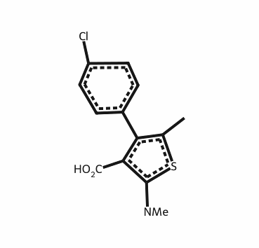 CNc1sc(C)c(-c2ccc(Cl)cc2)c1C(=O)O